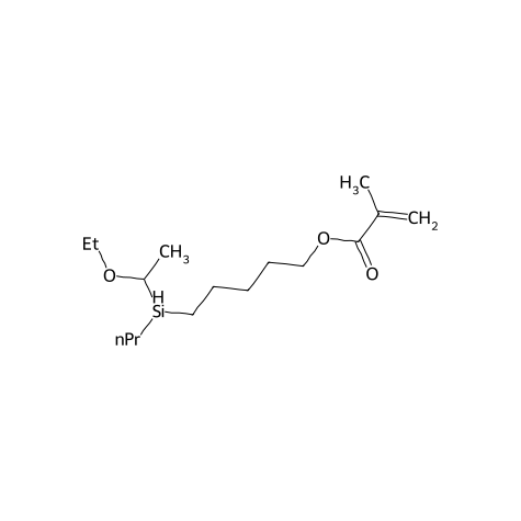 C=C(C)C(=O)OCCCCC[SiH](CCC)C(C)OCC